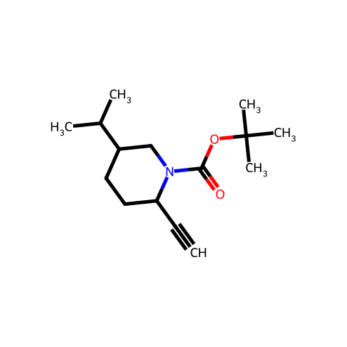 C#CC1CCC(C(C)C)CN1C(=O)OC(C)(C)C